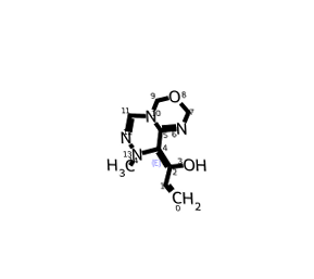 C=C/C(O)=C1/C2=NCOCN2C=NN1C